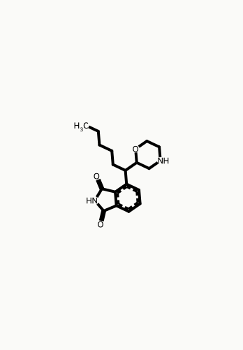 CCCCCC(c1cccc2c1C(=O)NC2=O)C1CNCCO1